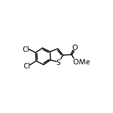 COC(=O)c1cc2cc(Cl)c(Cl)cc2s1